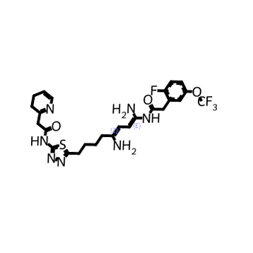 N/C(=C\C=C(/N)NC(=O)Cc1cc(OC(F)(F)F)ccc1F)CCCCc1nnc(NC(=O)CC2=NC=CCC2)s1